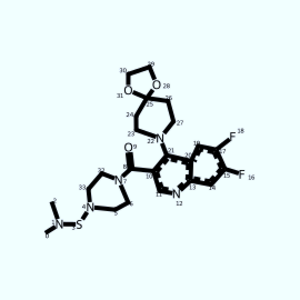 CN(C)SN1CCN(C(=O)c2cnc3cc(F)c(F)cc3c2N2CCC3(CC2)OCCO3)CC1